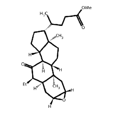 CC[C@H]1C(=O)[C@@H]2[C@H](CC[C@]3(C)[C@@H](C(C)CCC(=O)OC)CC[C@@H]23)[C@@]2(C)C[C@@H]3O[C@@H]3C[C@@H]12